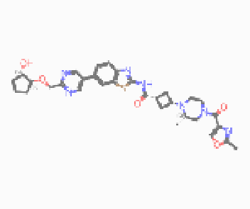 Cc1nc(C(=O)N2CCN([C@H]3C[C@@H](C(=O)Nc4nc5ccc(-c6cnc(CO[C@H]7CCC[C@@H]7O)nc6)cc5s4)C3)[C@@H](C)C2)co1